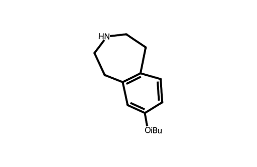 CC(C)COc1ccc2c(c1)CCNCC2